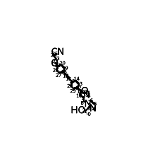 C[C@H](O)c1nccn1Cc1cc(-c2ccc(C#Cc3ccc(OCCC#N)cc3)cc2)on1